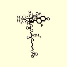 CC1(C)O[C@@H]2CC3C4C[C@H](F)C5=CC(=O)C=C[C@]5(C)[C@@]4(F)[C@@H](O)C[C@]3(C)[C@]2(C(=O)COC(=O)OCC(N)C(=O)OCCCCO[N+](=O)[O-])O1